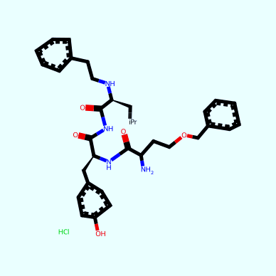 CC(C)C[C@H](NCCc1ccccc1)C(=O)NC(=O)[C@H](Cc1ccc(O)cc1)NC(=O)C(N)CCOCc1ccccc1.Cl